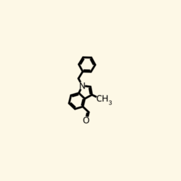 Cc1cn(Cc2ccccc2)c2cccc(C=O)c12